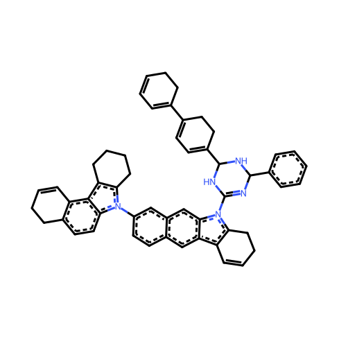 C1=CCCC(C2=CC=C(C3NC(n4c5c(c6cc7ccc(-n8c9c(c%10c%11c(ccc%108)CCC=C%11)CCCC9)cc7cc64)C=CCC5)=NC(c4ccccc4)N3)CC2)=C1